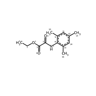 CCOC(=O)C(=O)Nc1c(C)cc(C)cc1C